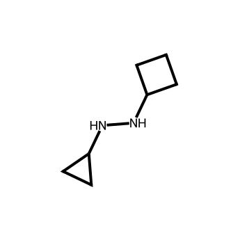 C1CC(NNC2CC2)C1